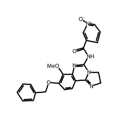 COc1c(OCc2ccccc2)ccc2c1N=C(NC(=O)c1ccc[n+]([O-])c1)N1CCN=C21